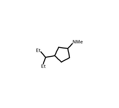 CCC(CC)C1CCC(NC)C1